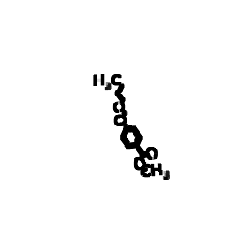 CCCCOCOc1ccc(C(=O)OC)cc1